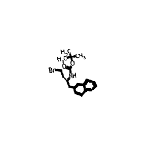 CC(C)(C)OC(=O)N[C@H](CCBr)Cc1ccc2ccccc2c1